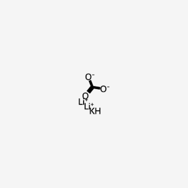 O=C([O-])[O-].[KH].[Li+].[Li+]